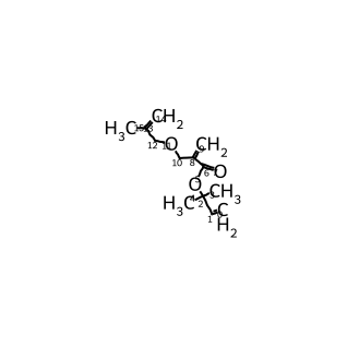 C=CC(C)(C)OC(=O)C(=C)COCC(=C)C